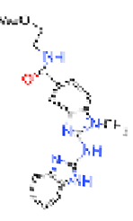 COCCNC(=O)c1ccc2c(c1)nc(Nc1nc3ccccc3[nH]1)n2C